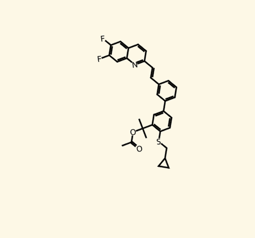 CC(=O)OC(C)(C)c1cc(-c2cccc(C=Cc3ccc4cc(F)c(F)cc4n3)c2)ccc1SCC1CC1